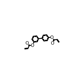 C=CC(=O)Oc1ccc(-c2cccc(OC(=O)C=C)c2)cc1